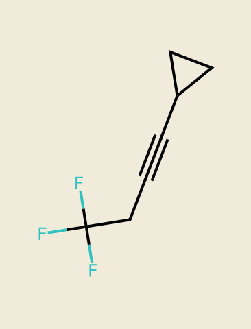 FC(F)(F)CC#CC1CC1